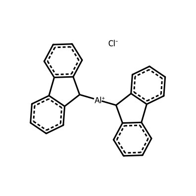 [Cl-].c1ccc2c(c1)-c1ccccc1[CH]2[Al+][CH]1c2ccccc2-c2ccccc21